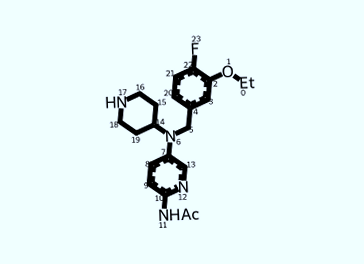 CCOc1cc(CN(c2ccc(NC(C)=O)nc2)C2CCNCC2)ccc1F